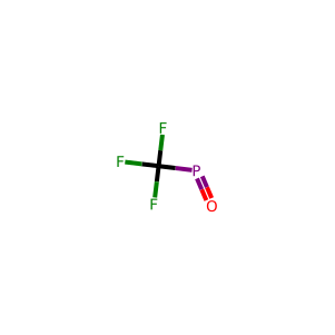 O=PC(F)(F)F